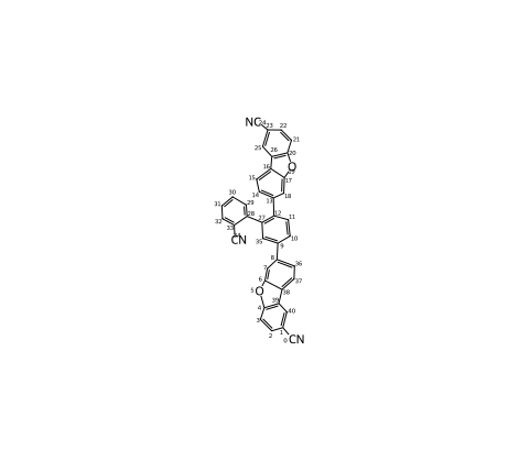 N#Cc1ccc2oc3cc(-c4ccc(-c5ccc6c(c5)oc5ccc(C#N)cc56)c(-c5ccccc5C#N)c4)ccc3c2c1